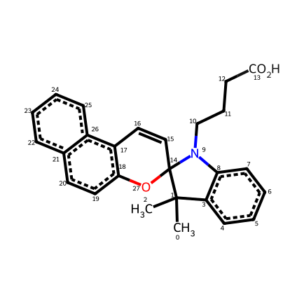 CC1(C)c2ccccc2N(CCCC(=O)O)C12C=Cc1c(ccc3ccccc13)O2